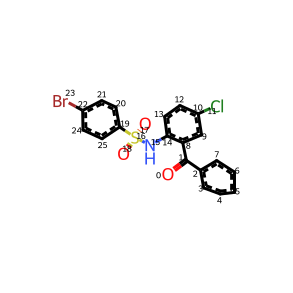 O=C(c1ccccc1)c1cc(Cl)ccc1NS(=O)(=O)c1ccc(Br)cc1